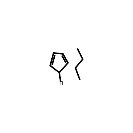 [CH2]CCC.[Ti][CH]1C=CC=C1